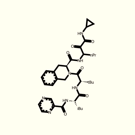 CCCC(NC(=O)[C@@H]1Cc2ccccc2CN1C(=O)[C@@H](NC(=O)[C@@H](NC(=O)c1cnccn1)[C@@H](C)CC)C(C)(C)C)C(=O)C(=O)NC1CC1